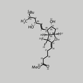 CCCC[C@H](C)C[C@@H](O)C=C[C@@H]1[C@@H]2[C@H](C[C@H]1O)OC(=CCCCC(=O)OC)C2(F)F